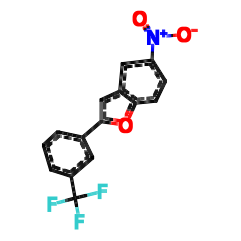 O=[N+]([O-])c1ccc2oc(-c3cccc(C(F)(F)F)c3)cc2c1